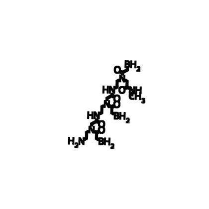 BCC(=O)N(CCNC(=O)CN(CCNC(=O)CN(CCN)C(=O)CB)C(=O)CB)CC(=O)NC